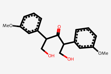 COc1cccc(C(CO)C(=O)C(CO)c2cccc(OC)c2)c1